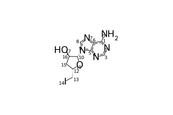 Nc1ncnc2c1ncn2[C@@H]1O[C@H](CI)C[C@H]1O